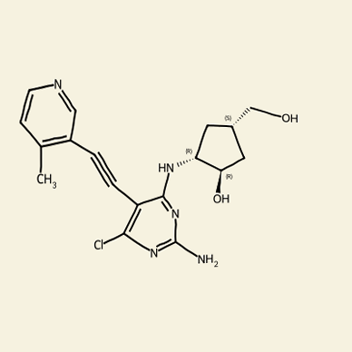 Cc1ccncc1C#Cc1c(Cl)nc(N)nc1N[C@@H]1C[C@H](CO)C[C@H]1O